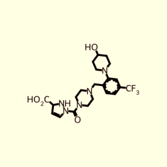 O=C(O)C1C=CN(C(=O)N2CCN(Cc3ccc(C(F)(F)F)cc3N3CCC(O)CC3)CC2)N1